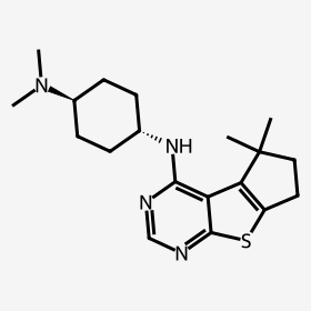 CN(C)[C@H]1CC[C@H](Nc2ncnc3sc4c(c23)C(C)(C)CC4)CC1